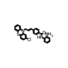 Nc1ccccc1NC(=O)c1ccc(C=CCN2c3ccccc3Sc3ccc(Cl)cc32)cc1